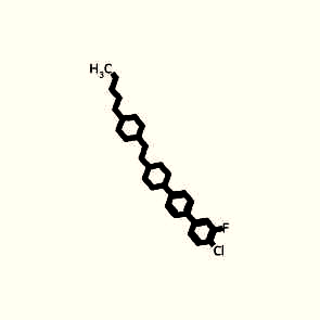 CCCCCC1CCC(CCC2CCC(c3ccc(-c4ccc(Cl)c(F)c4)cc3)CC2)CC1